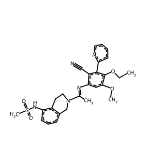 CCOc1c(OC)cc(N=C(C)N2CCc3c(cccc3NS(C)(=O)=O)C2)c(C#N)c1-c1ccccn1